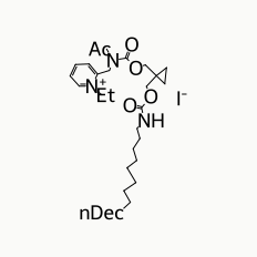 CCCCCCCCCCCCCCCCCCNC(=O)OCC1(COC(=O)N(Cc2cccc[n+]2CC)C(C)=O)CC1.[I-]